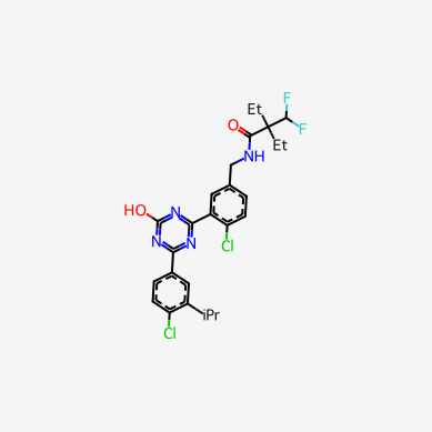 CCC(CC)(C(=O)NCc1ccc(Cl)c(-c2nc(O)nc(-c3ccc(Cl)c(C(C)C)c3)n2)c1)C(F)F